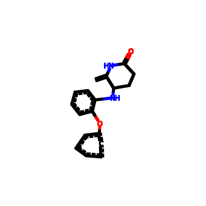 C=C1NC(=O)CCC1Nc1ccccc1Oc1ccccc1